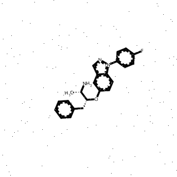 C[C@H](N)[C@@H](Cc1ccccc1)Oc1ccc2c(cnn2-c2ccc(F)cc2)c1